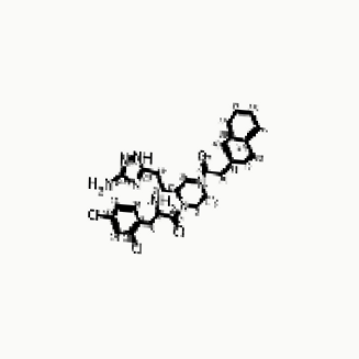 C[C@@H]1CN(C(=O)C(N)Cc2ccc(Cl)cc2Cl)[C@@H](CCc2nc(N)n[nH]2)CN1C(=O)Cc1ccc2ccccc2c1